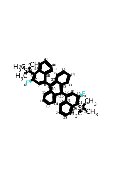 C[Si](C)(C)c1c(F)cc(-c2c3ccccc3c(-c3cc(F)c([Si](C)(C)C)c4ccccc34)c3ccccc23)c2ccccc12